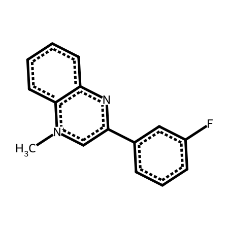 C[n+]1cc(-c2cccc(F)c2)nc2ccccc21